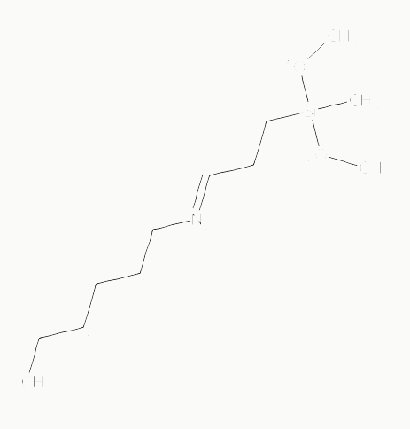 CCCCCCN=CCC[Si](C)(OC)OC